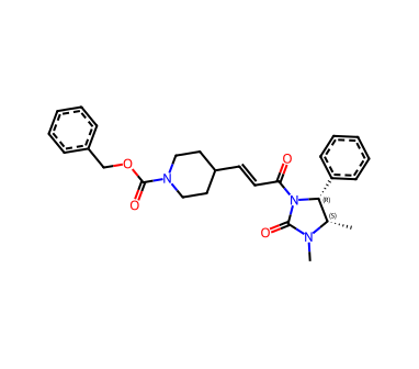 C[C@H]1[C@@H](c2ccccc2)N(C(=O)C=CC2CCN(C(=O)OCc3ccccc3)CC2)C(=O)N1C